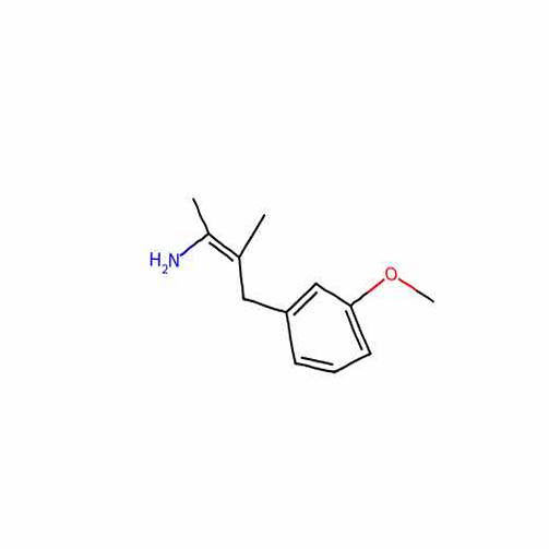 COc1cccc(C/C(C)=C(/C)N)c1